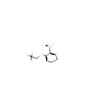 O=[N+]([O-])C1=CC[CH]C=C1OCC(F)(F)F